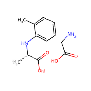 Cc1ccccc1N[C@@H](C)C(=O)O.NCC(=O)O